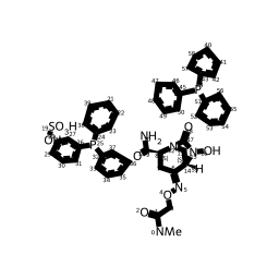 CNC(=O)CON=C1C[C@@H](C(N)=O)N2C[C@@H]1N(O)C2=O.O=S(=O)(O)O.c1ccc(P(c2ccccc2)c2ccccc2)cc1.c1ccc(P(c2ccccc2)c2ccccc2)cc1